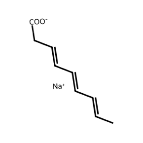 C/C=C/C=C/C=C/CC(=O)[O-].[Na+]